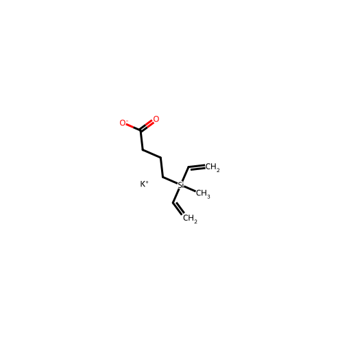 C=C[Si](C)(C=C)CCCC(=O)[O-].[K+]